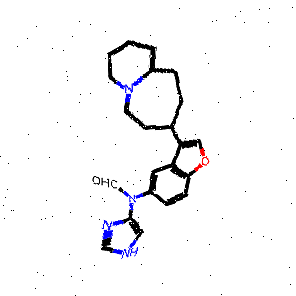 O=CN(c1ccc2occ(C3CCC4CCCCN4CC3)c2c1)c1c[nH]cn1